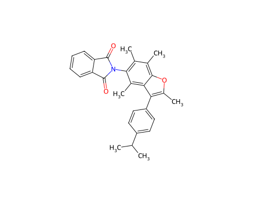 Cc1oc2c(C)c(C)c(N3C(=O)c4ccccc4C3=O)c(C)c2c1-c1ccc(C(C)C)cc1